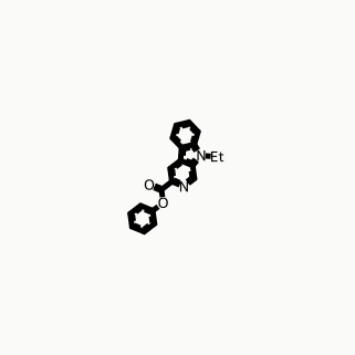 CCn1c2ccccc2c2cc(C(=O)Oc3ccccc3)ncc21